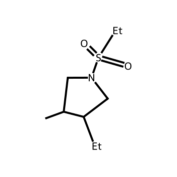 CCC1CN(S(=O)(=O)CC)CC1C